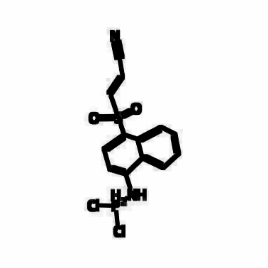 N#CC=CS(=O)(=O)c1ccc(N[PH2](Cl)Cl)c2ccccc12